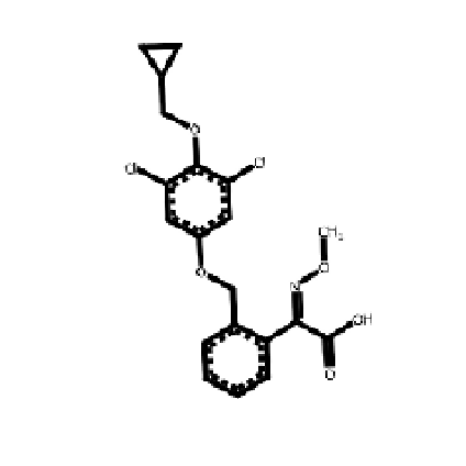 CON=C(C(=O)O)c1ccccc1COc1cc(Cl)c(OCC2CC2)c(Cl)c1